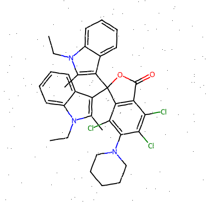 CCn1c(C)c(C2(c3c(C)n(CC)c4ccccc34)OC(=O)c3c(Cl)c(Cl)c(N4CCCCC4)c(Cl)c32)c2ccccc21